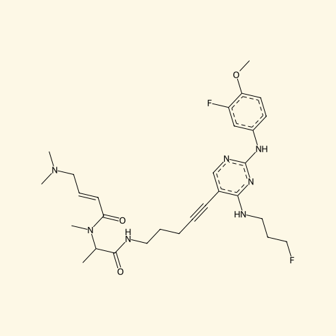 COc1ccc(Nc2ncc(C#CCCCNC(=O)C(C)N(C)C(=O)/C=C/CN(C)C)c(NCCCF)n2)cc1F